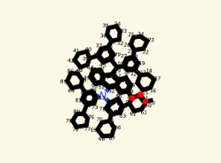 CCCCc1ccc2c(C(c3cc(C4CCCCC4)cc(C4CCCCC4)c3)c3cc(C4CCCCC4)cc(C4CCCCC4)c3)c3ccccc3c(N(c3cc(C4CCCCC4)cc(C4CCCCC4)c3)c3cc(C4CCCCC4)cc(C4CCCCC4)c3)c2c1